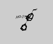 O=C(O)C12CC3C[C@](CF)(C1)C[C@@](c1ccccc1)(C3)C2